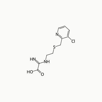 N=C(NCCSCc1ncccc1Cl)C(=O)O